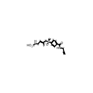 C#CCNC(=O)c1ccc(S(=O)(=O)CC(F)=CCNC(=O)O)cc1